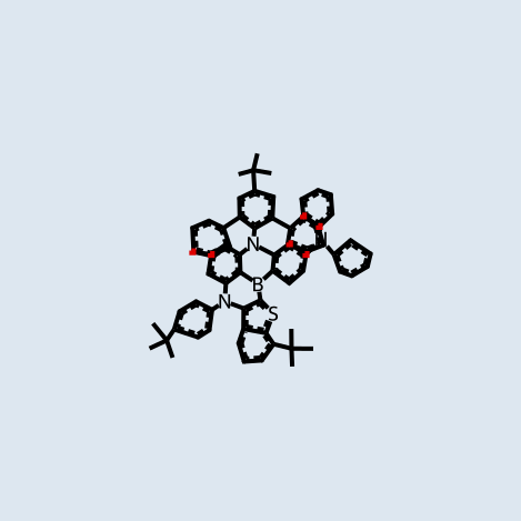 Cc1cc2c3c(c1)N(c1ccc(C(C)(C)C)cc1)c1c(sc4c(C(C)(C)C)cccc14)B3c1ccc(N(c3ccccc3)c3ccccc3)cc1N2c1c(-c2ccccc2)cc(C(C)(C)C)cc1-c1ccccc1